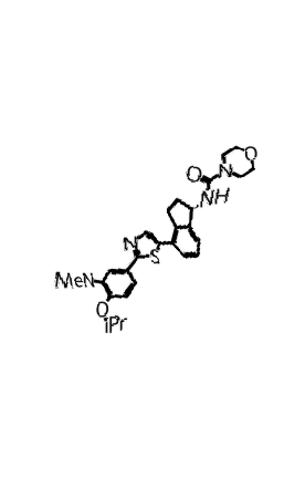 CNc1cc(-c2ncc(-c3cccc4c3CC[C@@H]4NC(=O)N3CCOCC3)s2)ccc1OC(C)C